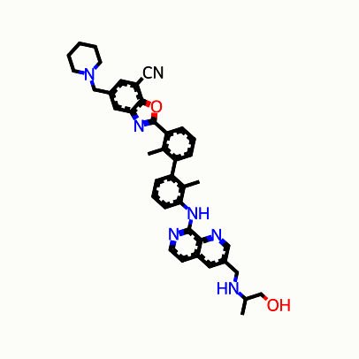 Cc1c(Nc2nccc3cc(CNC(C)CO)cnc23)cccc1-c1cccc(-c2nc3cc(CN4CCCCC4)cc(C#N)c3o2)c1C